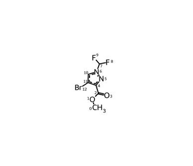 COC(=O)c1nn(C(F)F)cc1Br